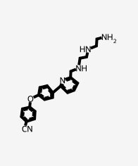 N#Cc1ccc(Oc2ccc(-c3cccc(CNCCNCCN)n3)cc2)cc1